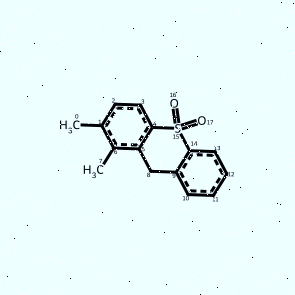 Cc1ccc2c(c1C)Cc1ccccc1S2(=O)=O